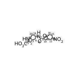 O=C(O)c1cc2cc(NC(=O)c3cc4cc([N+](=O)[O-])ccc4o3)ccc2[nH]1